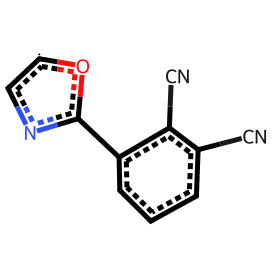 N#Cc1cccc(-c2nc[c]o2)c1C#N